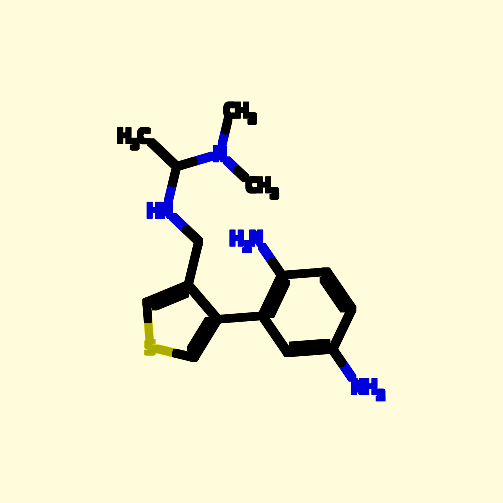 CC(NCc1cscc1-c1cc(N)ccc1N)N(C)C